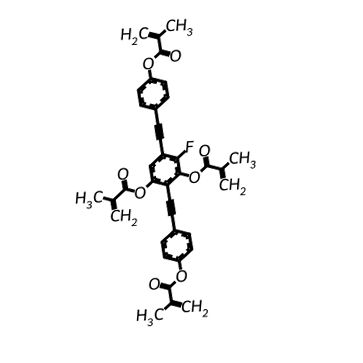 C=C(C)C(=O)Oc1ccc(C#Cc2cc(OC(=O)C(=C)C)c(C#Cc3ccc(OC(=O)C(=C)C)cc3)c(OC(=O)C(=C)C)c2F)cc1